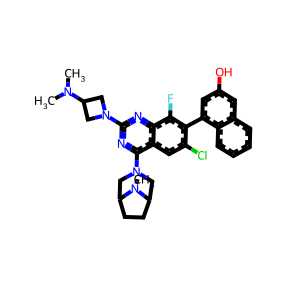 CN(C)C1CN(c2nc(N3CC4CCC(C3)N4C)c3cc(Cl)c(-c4cc(O)cc5ccccc45)c(F)c3n2)C1